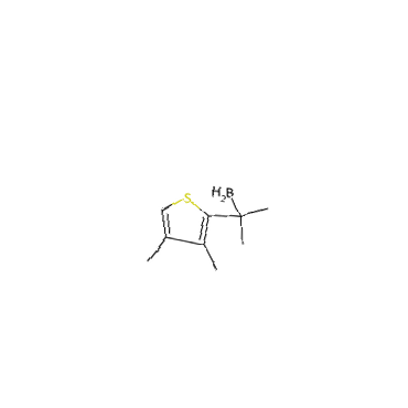 BC(C)(C)c1scc(C)c1C